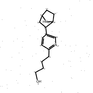 OCCCCc1ccc(C2CC3CCC2N3)cn1